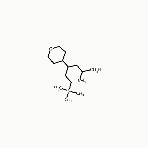 C[Si](C)(C)CCC(CC(N)C(=O)O)C1CCOCC1